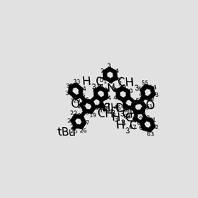 Cc1cccc(C)c1N(c1ccc2c(c1)C(C)(C)c1cc(-c3ccc(C(C)(C)C)cc3)c3oc4ccccc4c3c1-2)c1ccc2c(c1)C(C)(C)c1c3c(c4oc5ccccc5c4c1-2)-c1ccccc1C3(C)C